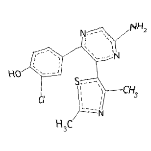 Cc1nc(C)c(-c2nc(N)cnc2-c2ccc(O)c(Cl)c2)s1